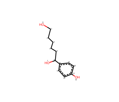 OCCCCCC(O)c1ccc(O)cc1